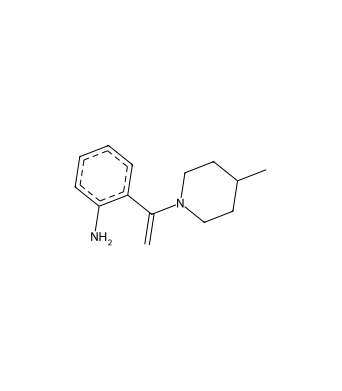 C=C(c1ccccc1N)N1CCC(C)CC1